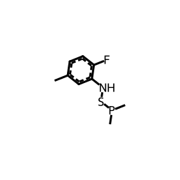 Cc1ccc(F)c(NSP(C)C)c1